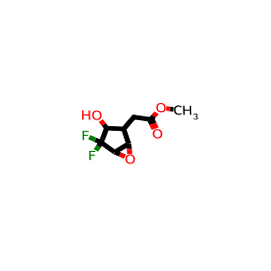 COC(=O)CC1C2OC2C(F)(F)C1O